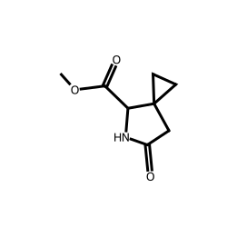 COC(=O)C1NC(=O)CC12CC2